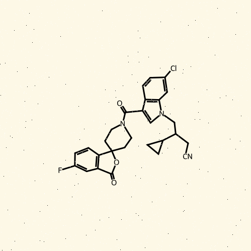 N#CCC(Cn1cc(C(=O)N2CCC3(CC2)OC(=O)c2cc(F)ccc23)c2ccc(Cl)cc21)C1CC1